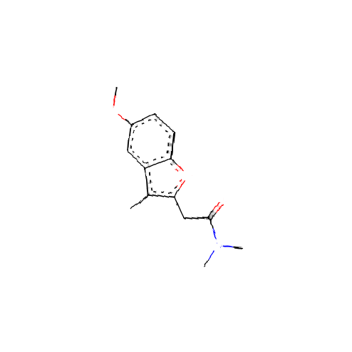 COc1ccc2oc(CC(=O)N(C)C)c(C)c2c1